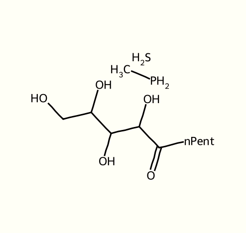 CCCCCC(=O)C(O)C(O)C(O)CO.CP.S